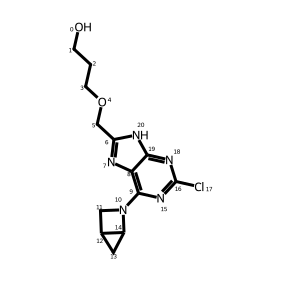 OCCCOCc1nc2c(N3CC4CC43)nc(Cl)nc2[nH]1